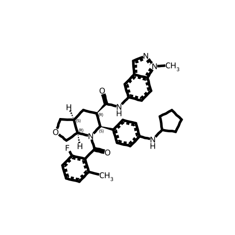 Cc1cccc(F)c1C(=O)N1[C@H](c2ccc(NC3CCCC3)cc2)[C@H](C(=O)Nc2ccc3c(cnn3C)c2)C[C@@H]2COC[C@@H]21